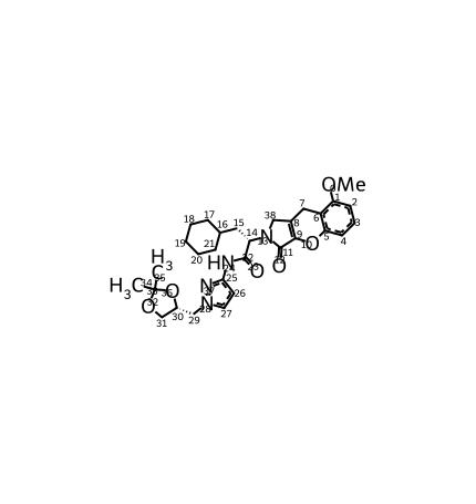 COc1cccc2c1CC1=C(O2)C(=O)N([C@@H](CC2CCCCC2)C(=O)Nc2ccn(C[C@@H]3COC(C)(C)O3)n2)C1